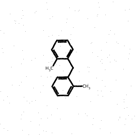 Cc1ccccc1Cc1ccccc1C